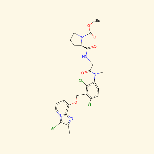 Cc1nc2c(OCc3c(Cl)ccc(N(C)C(=O)CNC(=O)[C@H]4CCCN4C(=O)OC(C)(C)C)c3Cl)cccn2c1Br